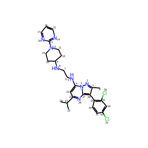 Cc1nn2c(NCCNC3CCN(c4ncccn4)CC3)cc(C(C)C)nc2c1-c1ccc(Cl)cc1Cl